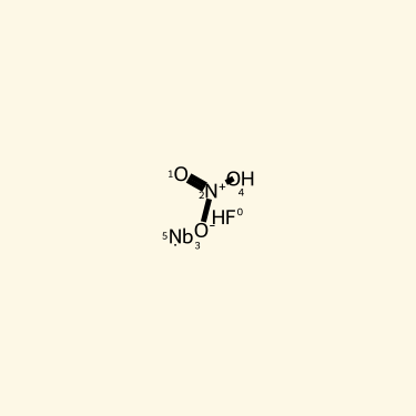 F.O=[N+]([O-])O.[Nb]